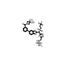 CC1(O)CN(C(=O)c2cccc(-c3ccc4nc(C(c5nnc(CNS(N)(=O)=O)o5)S(=O)(=O)CCC(F)(F)F)sc4c3)c2)C1